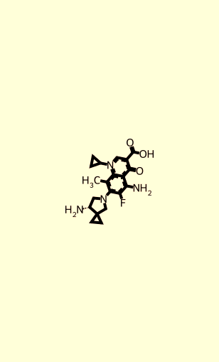 Cc1c(N2C[C@@H](N)C3(CC3)C2)c(F)c(N)c2c(=O)c(C(=O)O)cn(C3CC3)c12